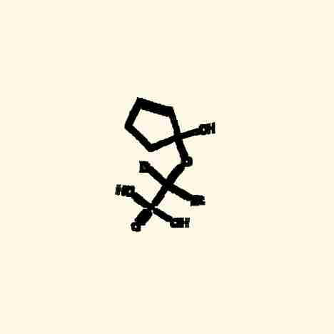 CCC(CC)(OC1(O)C=CCC1)P(=O)(O)O